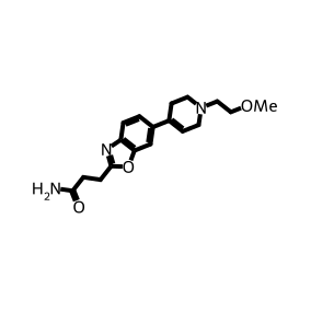 COCCN1CC=C(c2ccc3nc(CCC(N)=O)oc3c2)CC1